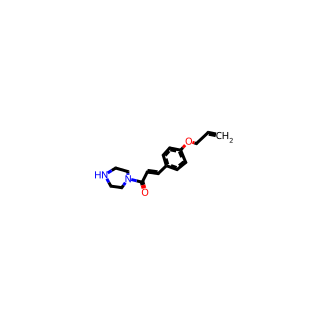 C=CCOc1ccc(/C=C/C(=O)N2CCNCC2)cc1